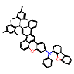 Cc1cc(C)c(B(c2c(C)cc(C)cc2C)c2cc3c4cccc5c4c(cc3c3ccccc23)-c2ccc(N(c3ccccc3)c3cccc4c3oc3ccccc34)cc2O5)c(C)c1